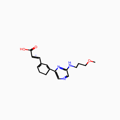 COCCCNc1cncc(C2=CC(/C=C/C(=O)O)=CCC2)n1